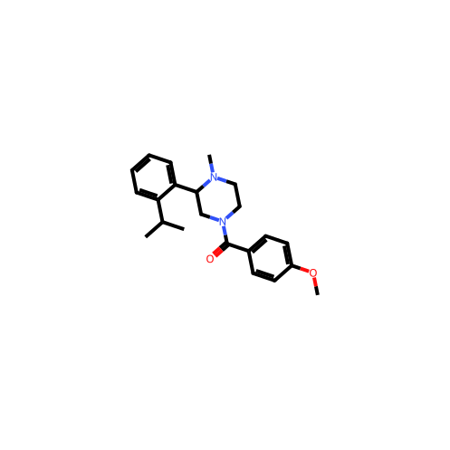 COc1ccc(C(=O)N2CCN(C)C(c3ccccc3C(C)C)C2)cc1